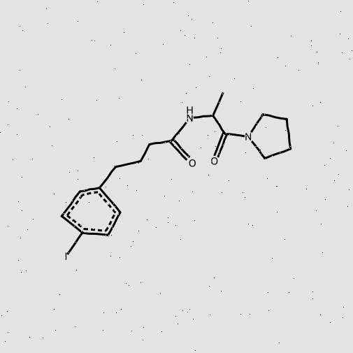 CC(NC(=O)CCCc1ccc(I)cc1)C(=O)N1CCCC1